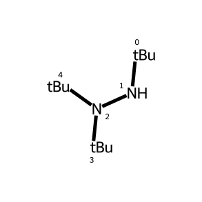 CC(C)(C)NN(C(C)(C)C)C(C)(C)C